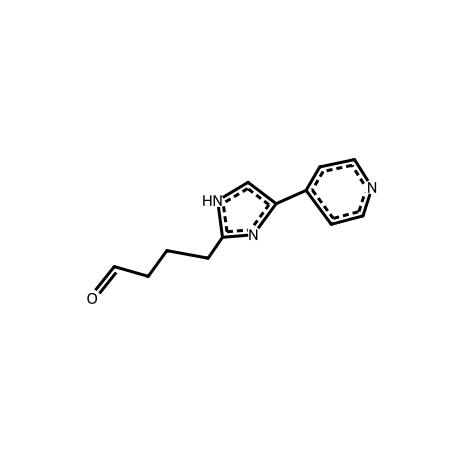 O=CCCCc1nc(-c2ccncc2)c[nH]1